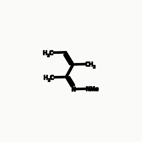 C/C=C(C)\C(C)=N/NC